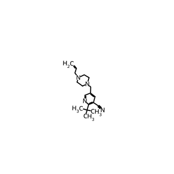 C=CCN1CCN(Cc2cnc(C(C)(C)C)c(C#N)c2)CC1